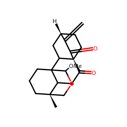 C=C1C(=O)[C@]23CC[C@H]1CC2C12CCC[C@@](C)(COC1OC)C2CC3=O